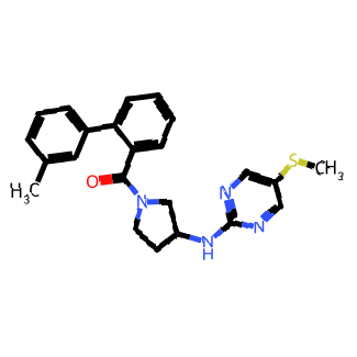 CSc1cnc(NC2CCN(C(=O)c3ccccc3-c3cccc(C)c3)C2)nc1